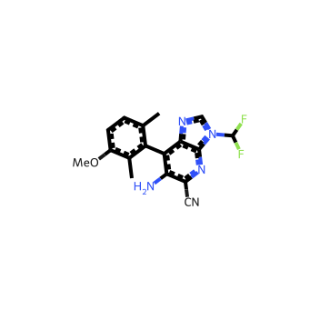 COc1ccc(C)c(-c2c(N)c(C#N)nc3c2ncn3C(F)F)c1C